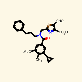 CCOC(=O)c1nc(CN(CCCc2ccccc2)C(=O)c2cc(OC)c(C)c(C3CC3)c2)sc1C=O